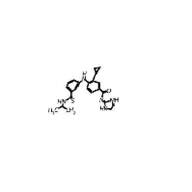 CC(C)NC(=S)c1cccc(Nc2ccc(C(=O)N=C3NCCN3)cc2C2CC2)c1